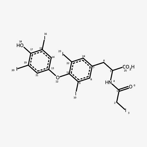 O=C(CI)NC(Cc1cc(I)c(Oc2cc(I)c(O)c(I)c2)c(I)c1)C(=O)O